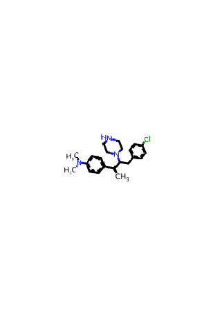 CC(c1ccc(N(C)C)cc1)C(Cc1ccc(Cl)cc1)N1CCNCC1